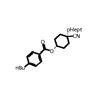 CCCCCCC[C@]1(C#N)CC[C@H](OC(=O)c2ccc(CCCC)cc2)CC1